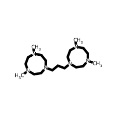 CN1CCN(C)CCN(CCCN2CCN(C)CCN(C)CC2)CC1